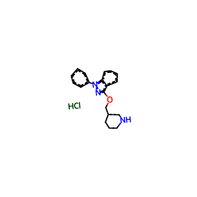 Cl.c1ccc(-n2nc(OCC3CCCNC3)c3ccccc32)cc1